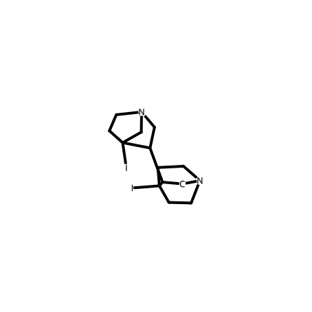 IC12CCN(CC1)CC2C1CN2CCC1(I)C2